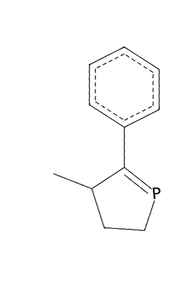 CC1CCP=C1c1ccccc1